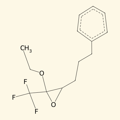 CCOC1(C(F)(F)F)OC1CCCc1ccccc1